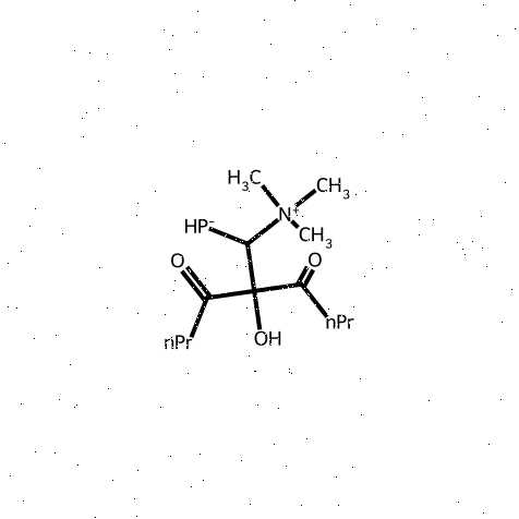 CCCC(=O)C(O)(C(=O)CCC)C([PH-])[N+](C)(C)C